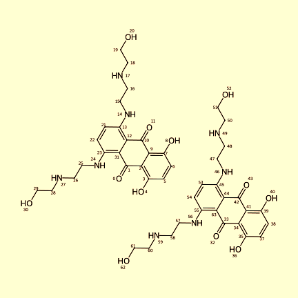 O=C1c2c(O)ccc(O)c2C(=O)c2c(NCCNCCO)ccc(NCCNCCO)c21.O=C1c2c(O)ccc(O)c2C(=O)c2c(NCCNCCO)ccc(NCCNCCO)c21